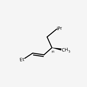 CCC=C[C@H](C)CC(C)C